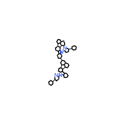 c1ccc(-c2ccc(-n3c4ccccc4c4c5c(ccc43)-c3cc(-c4ccc6c7ccc8c(c7n(-c7ccc(-c9ccccc9)cn7)c6c4)-c4cccc6cccc-8c46)cc4cccc-5c34)nc2)cc1